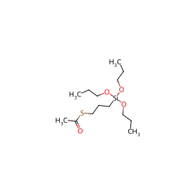 CCCO[Si](CCCSC(C)=O)(OCCC)OCCC